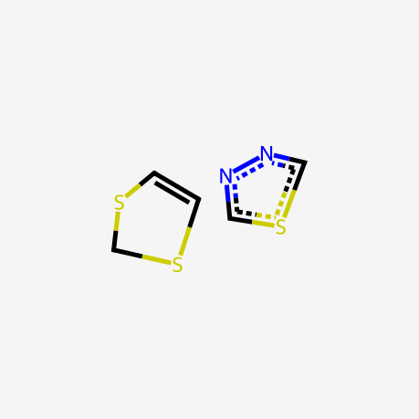 C1=CSCS1.c1nncs1